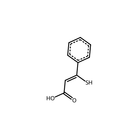 O=C(O)C=C(S)c1ccccc1